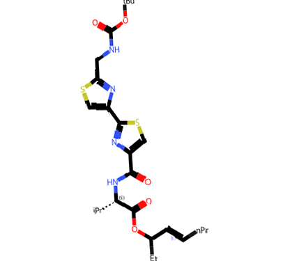 CCC/C=C/C(CC)OC(=O)[C@@H](NC(=O)c1csc(-c2csc(CNC(=O)OC(C)(C)C)n2)n1)C(C)C